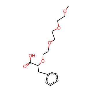 COCCOCCOCCOC(Cc1ccccc1)C(=O)O